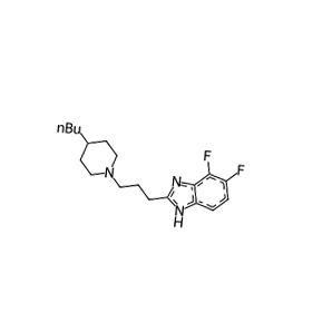 CCCCC1CCN(CCCc2nc3c(F)c(F)ccc3[nH]2)CC1